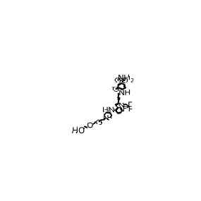 COc1cc(S(N)(=O)=O)ccc1NCC#Cc1cc2c(NC3CCN(CCOCCOCCO)CC3)cccc2n1CC(F)(F)F